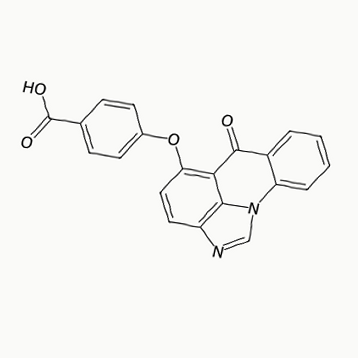 O=C(O)c1ccc(Oc2ccc3ncn4c5ccccc5c(=O)c2c34)cc1